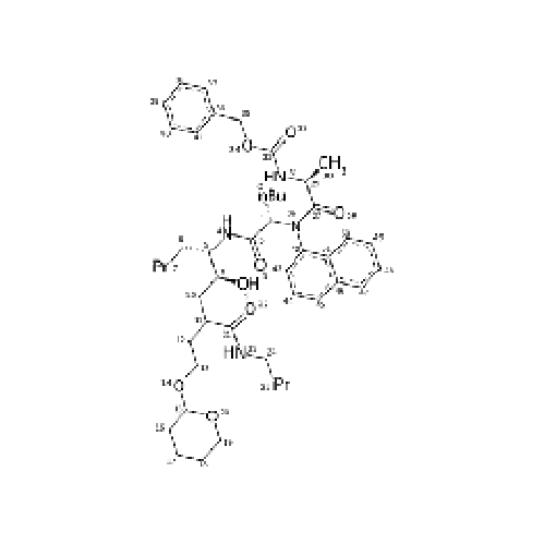 CCCC[C@@H](C(=O)N[C@@H](CC(C)C)[C@@H](O)CC(CCOC1CCCCO1)C(=O)NCC(C)C)N(C(=O)[C@H](C)NC(=O)OCc1ccccc1)c1cccc2ccccc12